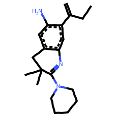 C=C(CC)c1cc2c(cc1N)CC(C)(C)C(N1CCCCC1)=N2